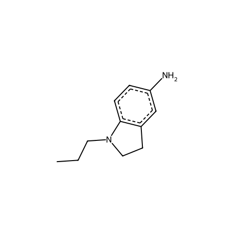 CCCN1CCc2cc(N)ccc21